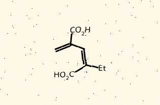 C=C(/C=C(/CC)C(=O)O)C(=O)O